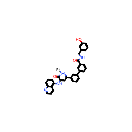 CCn1nc(-c2cccc(-c3cccc(C(=O)NCc4cccc(O)c4)c3)c2)cc(Nc2cccc3ncccc23)c1=O